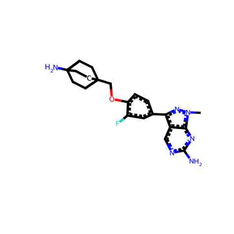 Cn1nc(-c2ccc(OCC34CCC(N)(CC3)CC4)c(F)c2)c2cnc(N)nc21